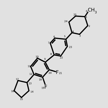 CC1CCC(c2ccc(-c3ccc(C4CCCC4)c(F)c3F)cc2)CC1